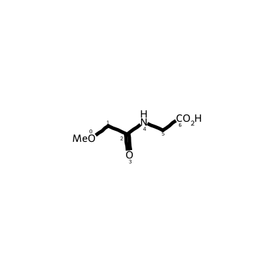 COCC(=O)NCC(=O)O